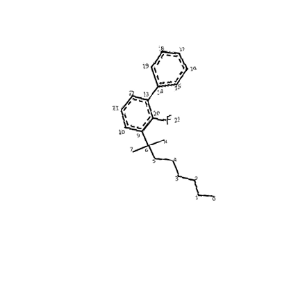 CCCCCCC(C)(C)c1cccc(-c2ccccc2)c1F